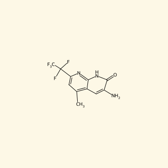 Cc1cc(C(F)(F)C(F)(F)F)nc2[nH]c(=O)c(N)cc12